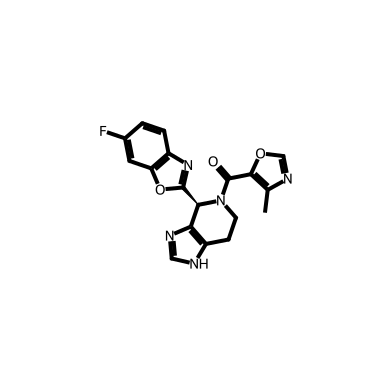 Cc1ncoc1C(=O)N1CCc2[nH]cnc2[C@H]1c1nc2ccc(F)cc2o1